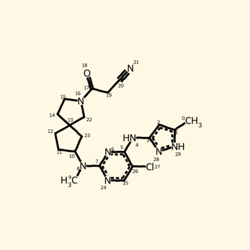 Cc1cc(Nc2nc(N(C)C3CCC4(CCN(C(=O)CC#N)C4)C3)ncc2Cl)n[nH]1